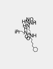 CC(C)C[CH]NC(=O)[C@H](CCCNC(=N)N[N+](=O)[O-])NC(=O)CCCCC1CCCCC1